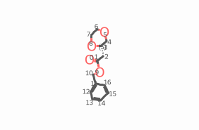 O=C(C[C@H]1COCCO1)OCc1ccccc1